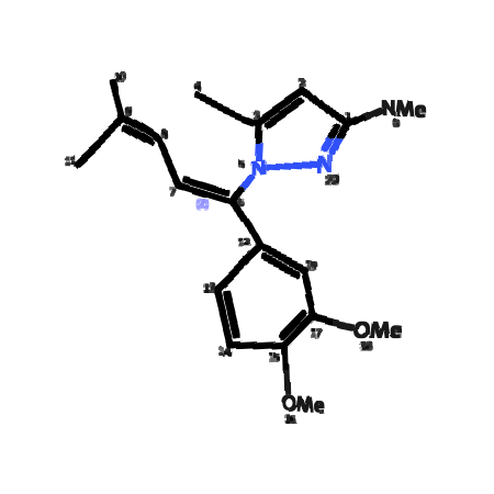 CNc1cc(C)n(/C(=C\C=C(C)C)c2ccc(OC)c(OC)c2)n1